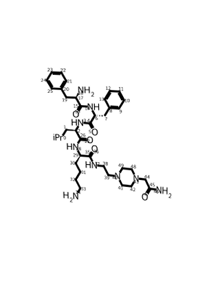 CC(C)C[C@@H](NC(=O)[C@@H](Cc1ccccc1)NC(=O)[C@H](N)Cc1ccccc1)C(=O)N[C@H](CCCCN)C(=O)NCCN1CCN(CC(N)=O)CC1